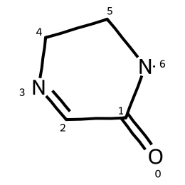 O=C1C=NCC[N]1